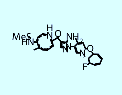 C=N/C=C(\C(C)=C/COC1C=CC=CC(F)C1)n1ncc(C(=O)c2cccc(C)c(NSC)cc[nH]2)c1N